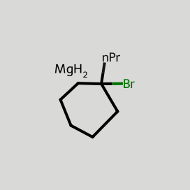 CCCC1(Br)CCCCC1.[MgH2]